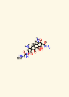 CN(C)c1cc(NC(=O)CNC(C)(C)C)c(O)c2c1C[C@H]1CC3[C@H]4C(=C(C(N)=O)C(=O)[C@@]3(O)C(O)=C1C2=O)ON4C